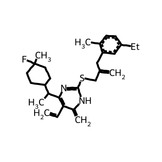 C=CC1=C(C(C)C2CCC(C)(F)CC2)N=C(SCC(=C)Cc2cc(CC)ccc2C)NC1=C